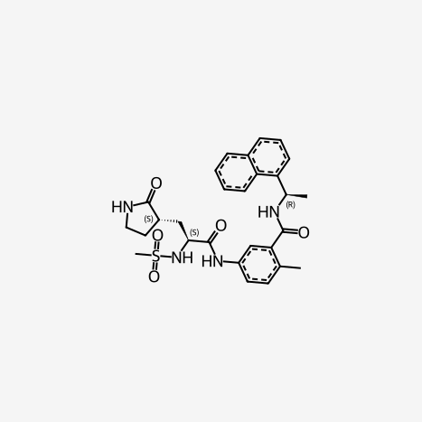 Cc1ccc(NC(=O)[C@H](C[C@@H]2CCNC2=O)NS(C)(=O)=O)cc1C(=O)N[C@H](C)c1cccc2ccccc12